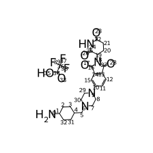 NC1CCC(CN2CCN(c3ccc4c(c3)C(=O)N(C3CCC(=O)NC3=O)C4=O)CC2)CC1.O=C(O)C(F)(F)F